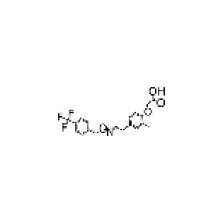 Cc1cc(CC=NOCc2ccc(C(F)(F)F)cc2)ccc1OCC(=O)O